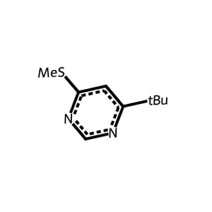 CSc1cc(C(C)(C)C)ncn1